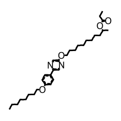 CCCCCCCCOc1ccc(-c2cnc(OCCCCCCCCCC(C)OC(=O)CC)cn2)cc1